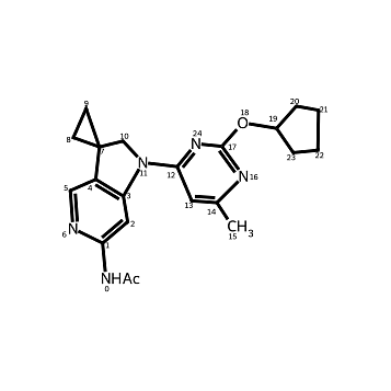 CC(=O)Nc1cc2c(cn1)C1(CC1)CN2c1cc(C)nc(OC2CCCC2)n1